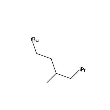 [CH2]C(C)CC(C)CCC(C)CC